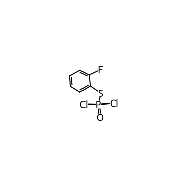 O=P(Cl)(Cl)Sc1ccccc1F